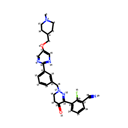 CN1CCC(COc2cnc(-c3cccc(CN4CCC(=O)C(c5cccc(C#N)c5F)=N4)c3)nc2)CC1